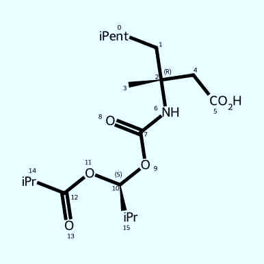 CCCC(C)C[C@](C)(CC(=O)O)NC(=O)O[C@H](OC(=O)C(C)C)C(C)C